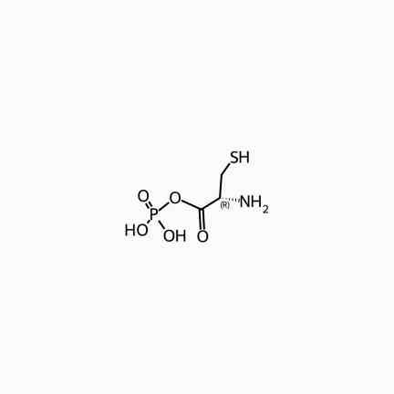 N[C@@H](CS)C(=O)OP(=O)(O)O